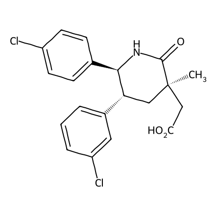 C[C@]1(CC(=O)O)C[C@H](c2cccc(Cl)c2)[C@@H](c2ccc(Cl)cc2)NC1=O